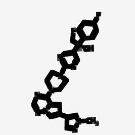 Cn1cc(-c2cc3c(N4CCN(c5ncc([C@@](O)(CF)c6ccc(F)cc6)cn5)CC4)ncnn3c2)cn1